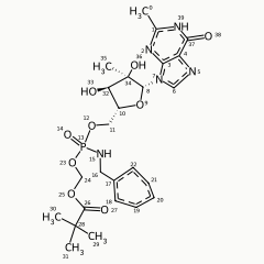 Cc1nc2c(ncn2[C@@H]2O[C@H](COP(=O)(NCc3ccccc3)OCOC(=O)C(C)(C)C)[C@@H](O)[C@@]2(C)O)c(=O)[nH]1